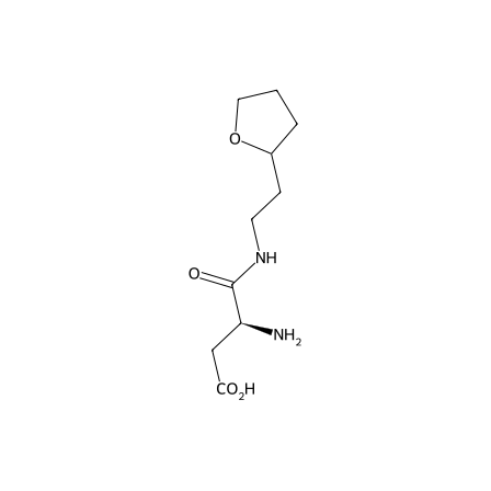 N[C@@H](CC(=O)O)C(=O)NCCC1CCCO1